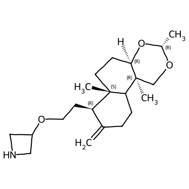 C=C1CCC2[C@]3(C)CO[C@@H](C)O[C@@H]3CC[C@@]2(C)[C@@H]1CCOC1CNC1